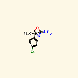 C[C@@]1(c2ccc(Br)cc2)COC(N)=N1